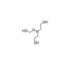 OCCN(CCO)OCO